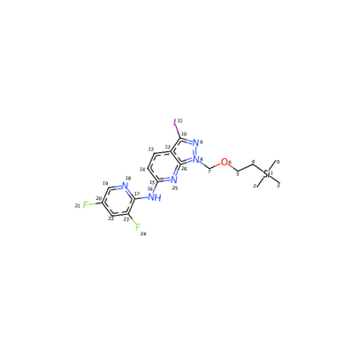 C[Si](C)(C)CCOCn1nc(I)c2ccc(Nc3ncc(F)cc3F)nc21